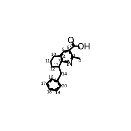 Cc1nc2c(cc1C(=O)O)CCCC2Cc1ccccc1